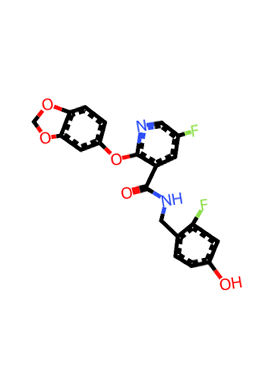 O=C(NCc1ccc(O)cc1F)c1cc(F)cnc1Oc1ccc2c(c1)OCO2